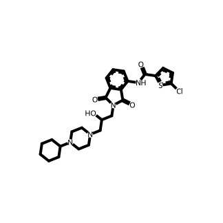 O=C(Nc1cccc2c1C(=O)N(CC(O)CN1CCN(C3CCCCC3)CC1)C2=O)c1ccc(Cl)s1